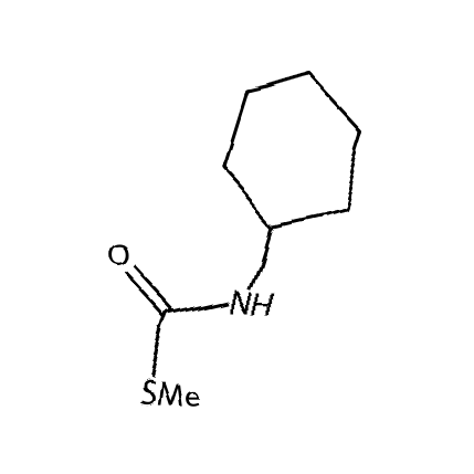 CSC(=O)NC1CCCCC1